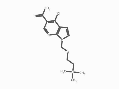 C[Si](C)(C)CCOCn1ccc2c(Cl)c(C(N)=S)cnc21